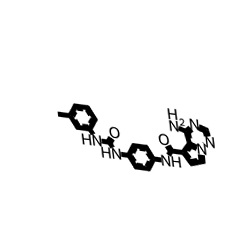 Cc1cccc(NC(=O)Nc2ccc(NC(=O)c3ccn4ncnc(N)c34)cc2)c1